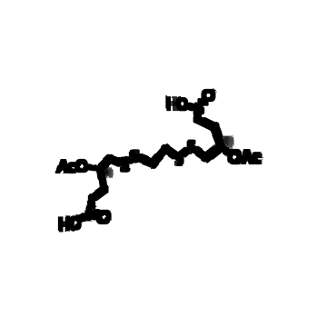 CC(=O)O[C@H](CCS(=O)O)CSSCCSSC[C@@H](CCS(=O)O)OC(C)=O